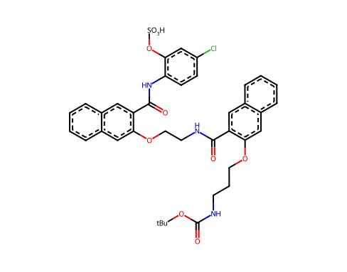 CC(C)(C)OC(=O)NCCCOc1cc2ccccc2cc1C(=O)NCCOc1cc2ccccc2cc1C(=O)Nc1ccc(Cl)cc1OS(=O)(=O)O